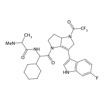 CNC(C)C(=O)NC(C(=O)N1CCC2C1=C(c1c[nH]c3cc(F)ccc13)CN2C(=O)C(F)(F)F)C1CCCCC1